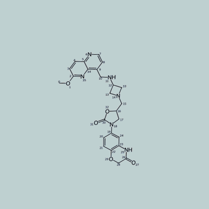 COc1ccc2nccc(CNC3CN(CC4CN(c5ccc6c(c5)NC(=O)CO6)C(=O)O4)C3)c2n1